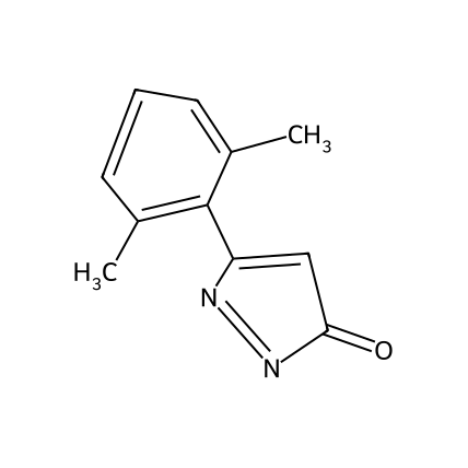 Cc1cccc(C)c1C1=CC(=O)N=N1